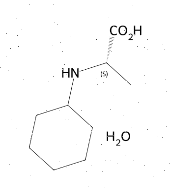 C[C@H](NC1CCCCC1)C(=O)O.O